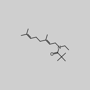 CCN(C/C=C(\C)CCC=C(C)C)C(=O)C(C)(C)C